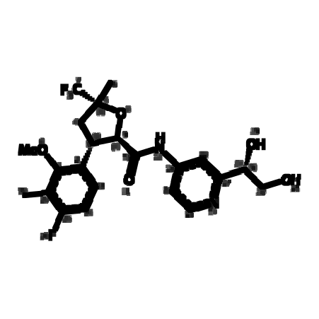 COc1c([C@@H]2C[C@](C)(C(F)(F)F)O[C@H]2C(=O)Nc2ccnc([C@H](O)CO)c2)ccc(F)c1C